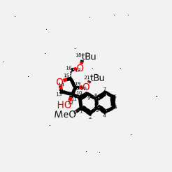 COc1cc2ccccc2cc1C1(O)CO[C@H](COC(C)(C)C)C1OC(C)(C)C